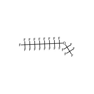 FC(F)(F)C(F)(F)OC(F)(F)C(F)(F)C(F)(F)C(F)(F)C(F)(F)C(F)(F)C(F)(F)C(F)(F)F